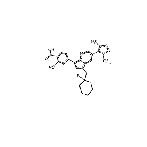 Cc1noc(C)c1-c1cnc2c(-c3ccc(C(=O)O)c(O)c3)cn(CC3(F)CCCCC3)c2c1